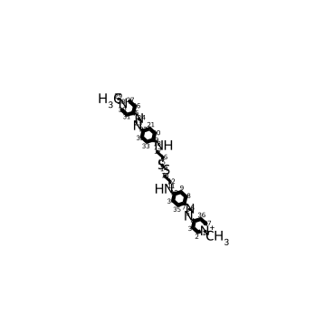 C[n+]1ccc(N=Nc2ccc(NCCSSCCNc3ccc(N=Nc4cc[n+](C)cc4)cc3)cc2)cc1